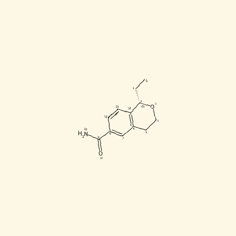 [CH2]C[C@@H]1OCCc2cc(C(N)=O)ccc21